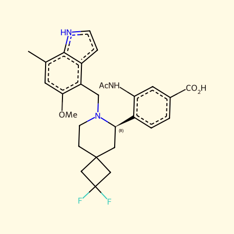 COc1cc(C)c2[nH]ccc2c1CN1CCC2(C[C@@H]1c1ccc(C(=O)O)cc1NC(C)=O)CC(F)(F)C2